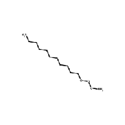 NCCCCCCCCCCOOON